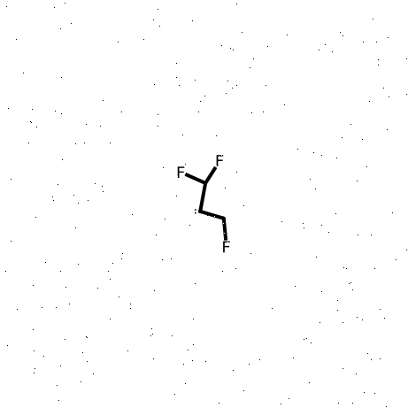 FC[C]C(F)F